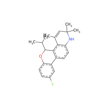 CC1=CC(C)(C)Nc2ccc3c(c21)C(C(C)C)Oc1ccc(F)cc1-3